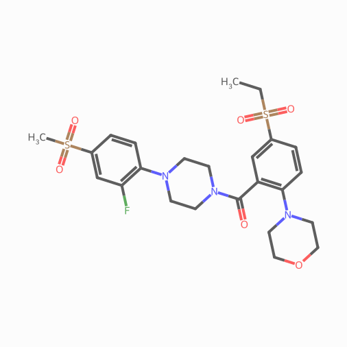 CCS(=O)(=O)c1ccc(N2CCOCC2)c(C(=O)N2CCN(c3ccc(S(C)(=O)=O)cc3F)CC2)c1